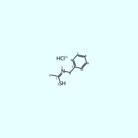 CC(S)=NCc1ccccc1.Cl